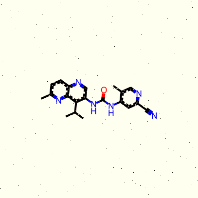 Cc1ccc2ncc(NC(=O)Nc3cc(C#N)ncc3C)c(C(C)C)c2n1